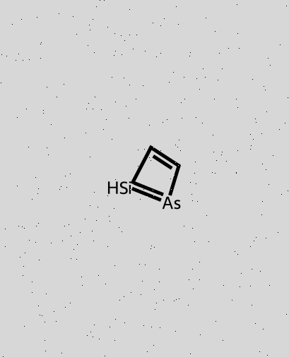 C1=C[As]=[SiH]1